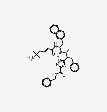 CN(C(=O)C(Cc1ccc2ccccc2c1)NC(=O)/C=C/CC(C)(C)N)C(Cc1ccccc1)c1nc(C(=O)NCc2ccccc2)no1